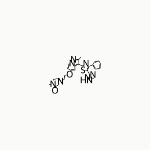 Cc1nn2ccc(OCCN3CCN(C)C(=O)C3)cc2c1-c1nc(-c2ccccc2)c(-c2nc[nH]n2)s1